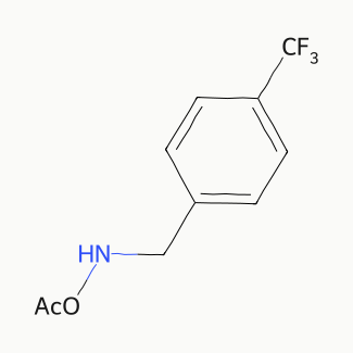 CC(=O)ONCc1ccc(C(F)(F)F)cc1